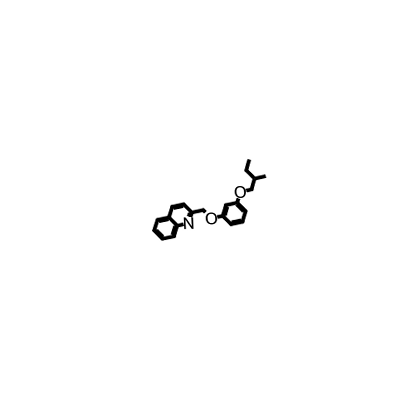 CCC(C)COc1cccc(OCc2ccc3ccccc3n2)c1